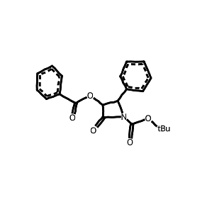 CC(C)(C)OC(=O)N1C(=O)C(OC(=O)c2ccccc2)C1c1ccccc1